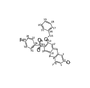 Cc1cc([O])cc(C)c1Cc1ccc(OCc2ccccc2)c(S(=O)(=O)c2ccc(F)cc2)c1